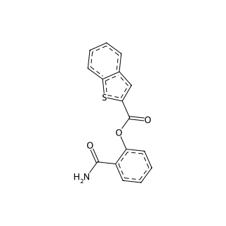 NC(=O)c1ccccc1OC(=O)c1cc2ccccc2s1